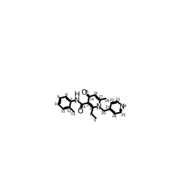 CCc1c(C(=O)Nc2ccccc2C)c(=O)cc(C)n1Cc1ccncc1